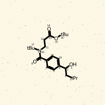 CC(C)CC(O)c1ccc(C(=O)N(CCC(=O)OC(C)(C)C)C(C)(C)C)cc1